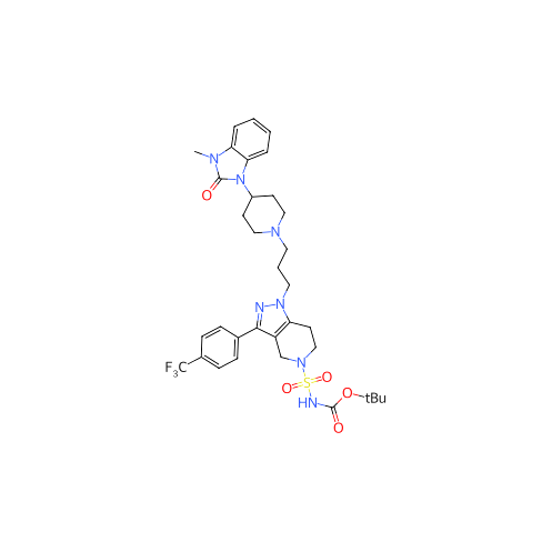 Cn1c(=O)n(C2CCN(CCCn3nc(-c4ccc(C(F)(F)F)cc4)c4c3CCN(S(=O)(=O)NC(=O)OC(C)(C)C)C4)CC2)c2ccccc21